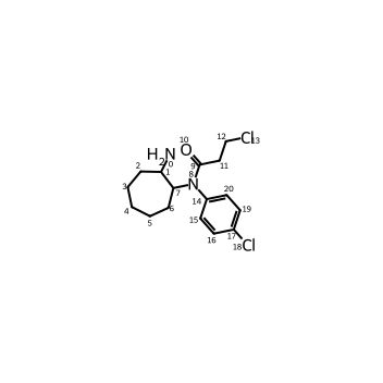 NC1CCCCCC1N(C(=O)CCCl)c1ccc(Cl)cc1